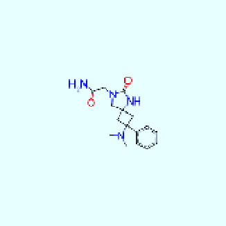 CN(C)C1(c2ccccc2)CC2(CN(CC(N)=O)C(=O)N2)C1